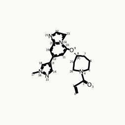 C=CC(=O)N1CCC[C@@H](Oc2cc(-c3cnn(C)c3)cc3nccn23)CC1